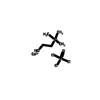 C[N+](C)(C)CCO.O=P(Cl)(Cl)Cl.[Ca+2]